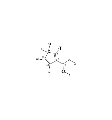 CCC(OC)C1=[C]([Ti])C(C)(C)C(C)=C1C